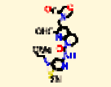 COCCNc1cc(NC(=O)N2CCCc3cc(CN4CCOCC4=C=O)c(C=O)nc32)ncc1SC#N